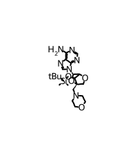 CC(C)(C)[Si](C)(C)OC1C2OC[C@]1(CN1CCOCC1)O[C@H]2n1cnc2c(N)ncnc21